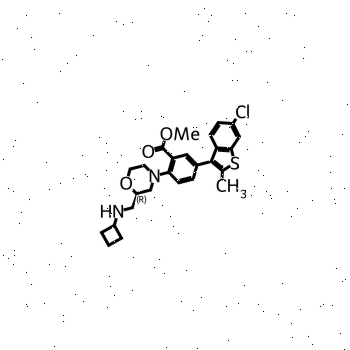 COC(=O)c1cc(-c2c(C)sc3cc(Cl)ccc23)ccc1N1CCO[C@H](CNC2CCC2)C1